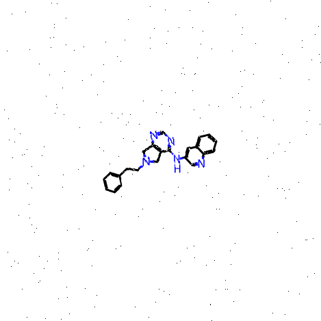 c1ccc(CCN2Cc3ncnc(Nc4cnc5ccccc5c4)c3C2)cc1